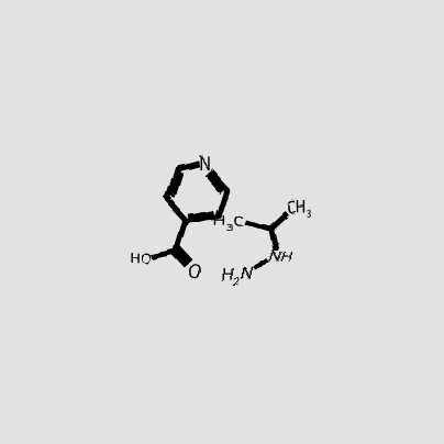 CC(C)NN.O=C(O)c1ccncc1